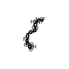 O=C1CCC(N2Cc3cc(N4CCN(CC5CCN(c6cccc(S(=O)(=O)N7CCC(Nc8ncc(OC(F)F)cn8)CC7)c6)CC5)CC4)c(F)cc3C2=O)C(=O)N1